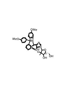 COc1ccc(C(Nc2ncnc3c2ncn3C2O[C@H](CO)C(O)[C@]2(C)O)(c2ccccc2)c2ccc(OC)cc2)cc1